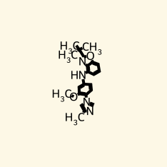 COc1cc(Nc2cccc3oc(C(C)(C)C)nc23)ccc1-n1cnc(C)c1